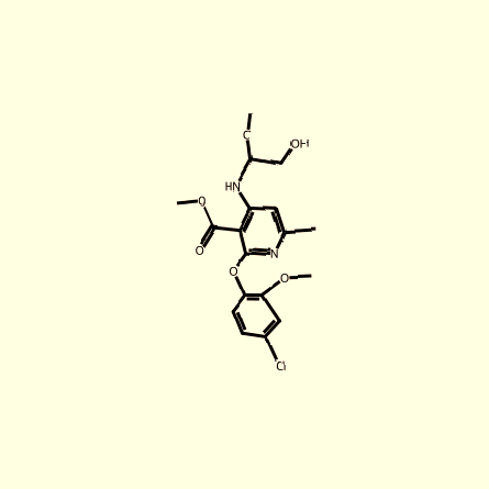 CCC(CO)Nc1cc(C)nc(Oc2ccc(Cl)cc2OC)c1C(=O)OC